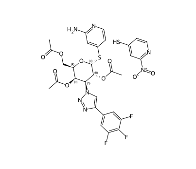 CC(=O)OC[C@H]1O[C@H](Sc2ccnc(N)c2)[C@H](OC(C)=O)[C@@H](n2cc(-c3cc(F)c(F)c(F)c3)nn2)[C@H]1OC(C)=O.O=[N+]([O-])c1cc(S)ccn1